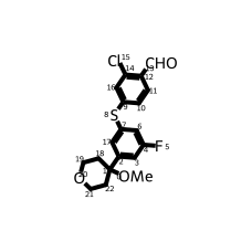 COC1(c2cc(F)cc(Sc3ccc(C=O)c(Cl)c3)c2)CCOCC1